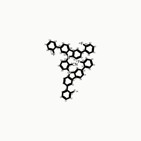 N#Cc1c(-n2c3ccc(-c4ccccc4F)cc3c3ccc(-c4ccccc4F)cc32)cccc1-n1c2ccc(-c3ccccc3F)cc2c2ccc(-c3ccccc3F)cc21